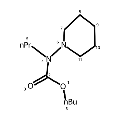 CCCCOC(=O)N(CCC)N1CCCCC1